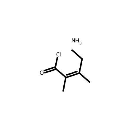 CCC(C)=C(C)C(=O)Cl.N